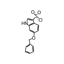 O=S(=O)(Cl)c1c[nH]c2cc(OCc3ccccc3)ccc12